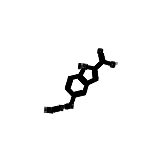 N=[N+]=Nc1ccc2[nH]c(C(=O)[O-])cc2c1